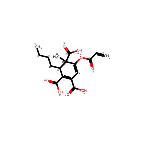 C=CC(=O)OC1=CC(C(=O)O)=C(C(=O)O)C(CCCC)C1(C)C(=O)O